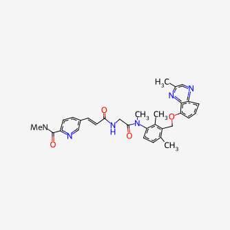 CNC(=O)c1ccc(C=CC(=O)NCC(=O)N(C)c2ccc(C)c(COc3cccc4ncc(C)nc34)c2C)cn1